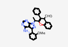 COc1ccccc1-c1nn(C(C)C2=C(c3ccccc3)C(C=O)c3ccccc3O2)c2ncnc(N)c12